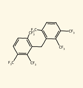 FC(F)(F)c1ccc(C(F)(F)F)c(C(F)(F)F)c1Cc1c(C(F)(F)F)ccc(C(F)(F)F)c1C(F)(F)F